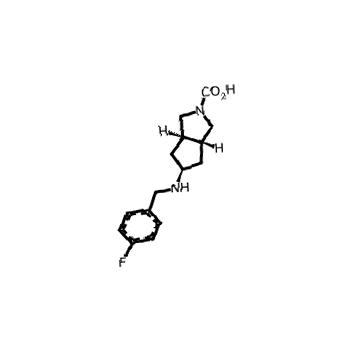 O=C(O)N1C[C@H]2C[C@H](NCc3ccc(F)cc3)C[C@H]2C1